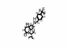 CC(C)[C@H]1CO[C@]23CC[C@H](NCc4ccc(C(F)(F)F)cc4)C[C@H]2CCC(=O)N13